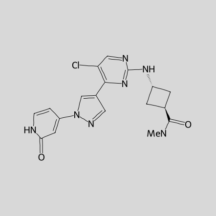 CNC(=O)[C@H]1C[C@H](Nc2ncc(Cl)c(-c3cnn(-c4cc[nH]c(=O)c4)c3)n2)C1